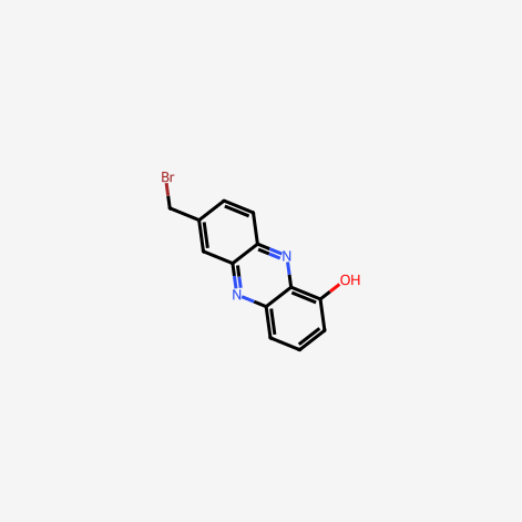 Oc1cccc2nc3cc(CBr)ccc3nc12